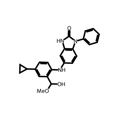 COC(O)c1cc(C2CC2)ccc1Nc1ccc2c(c1)[nH]c(=O)n2-c1ccccc1